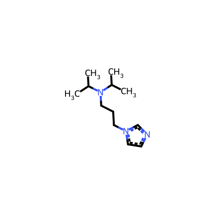 CC(C)N(CCCn1ccnc1)C(C)C